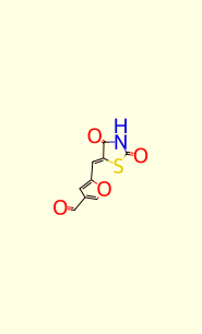 O=Cc1coc(/C=C2\SC(=O)NC2=O)c1